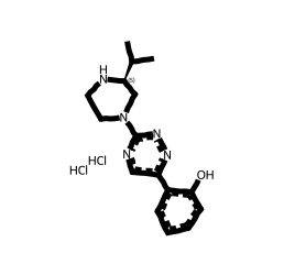 CC(C)[C@H]1CN(c2ncc(-c3ccccc3O)nn2)CCN1.Cl.Cl